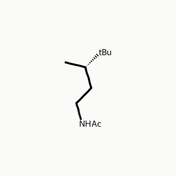 CC(=O)NCC[C@H](C)C(C)(C)C